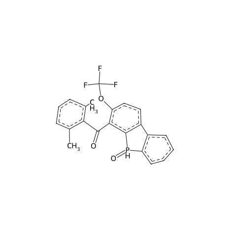 Cc1cccc(C)c1C(=O)c1c(OC(F)(F)F)ccc2c1[PH](=O)c1ccccc1-2